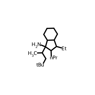 CCCC1C(CC)C2CCCCC2C1(N)C(C)CC(C)(C)C